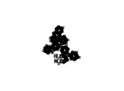 C/C=C\c1c(C)c2cc(N(c3ccc4c(c3)sc3ccccc34)c3cccc4c3-c3cccc5cc6c(c-4c35)CCC=C6)ccc2n1-c1ccccc1